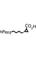 CCCCCCCCC[C@@H]1C[C@@H]1C(=O)O